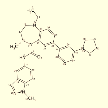 CCN1CC[C@@H](C)N(C(=O)Nc2ccc3c(cnn3C)c2)c2nc(-c3cccc(N4CCCC4)c3)ccc21